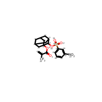 C=C(C(=O)OC12CC3CC(CC(C3)C1OS(=O)(=O)c1cccc([N+](=O)[O-])c1)C2)C(F)(F)F